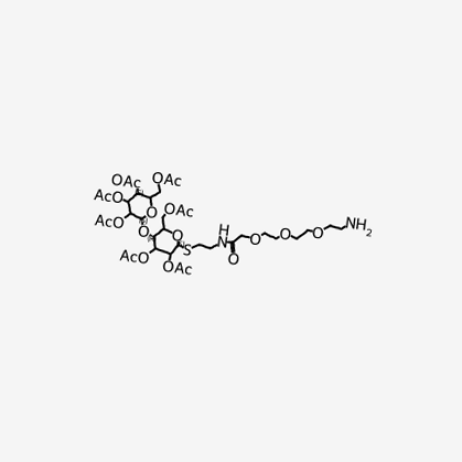 CC(=O)OCC1O[C@@H](SCCNC(=O)COCCOCCOCCN)C(OC(C)=O)C(OC(C)=O)[C@@H]1O[C@@H]1OC(COC(C)=O)[C@H](OC(C)=O)C(OC(C)=O)C1OC(C)=O